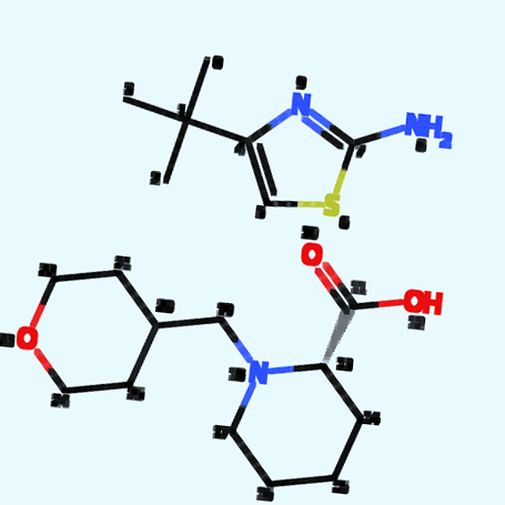 CC(C)(C)c1csc(N)n1.O=C(O)[C@@H]1CCCCN1CC1CCOCC1